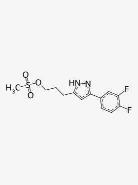 CS(=O)(=O)OCCCc1cc(-c2ccc(F)c(F)c2)n[nH]1